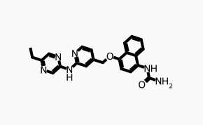 CCc1cnc(Nc2cc(COc3ccc(NC(N)=O)c4ccccc34)ccn2)cn1